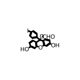 O=COC1(c2ccc(I)cc2)c2ccc(O)cc2Oc2cc(O)ccc21